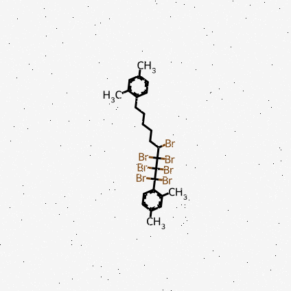 Cc1ccc(CCCCCC(Br)C(Br)(Br)C(Br)(Br)C(Br)(Br)c2ccc(C)cc2C)c(C)c1